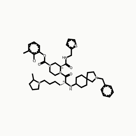 Cc1cccc(OC(=O)N2CCN(C(=O)[C@@H](CCCCN3CCCC3C)NC3CCC4(CC3)CCN(Cc3ccccc3)C4)[C@H](C(=O)NCc3cccs3)C2)c1Cl